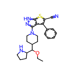 CCOC(C1CCN(c2n[nH]c3sc(C#N)c(-c4ccccc4)c23)CC1)C1CCCN1